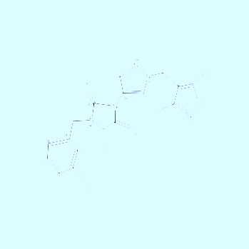 Cc1noc(C)c1Cn1cc(N2C(=O)[C@H](C)N(Cc3cccc(O)c3)C2=O)cn1